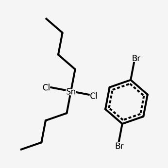 Brc1ccc(Br)cc1.CCC[CH2][Sn]([Cl])([Cl])[CH2]CCC